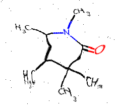 CC1C(C)C(C)(C)C(=O)N1C